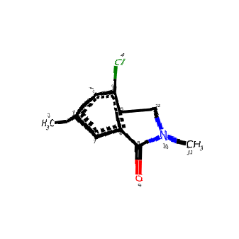 Cc1cc(Cl)c2c(c1)C(=O)N(C)C2